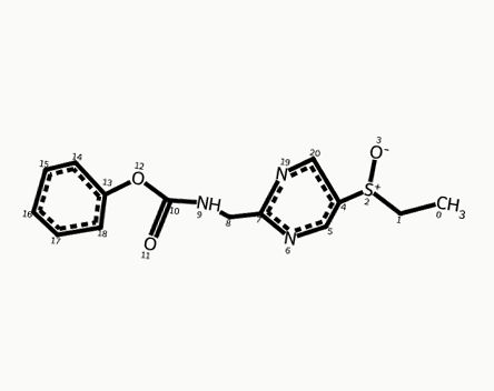 CC[S+]([O-])c1cnc(CNC(=O)Oc2ccccc2)nc1